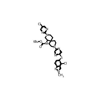 Cn1cc2c(Cl)c(Sc3cnc(N4CCC5(CC4)CCN(c4ncc(Cl)cn4)CC5NC(=O)OC(C)(C)C)cn3)ccc2n1